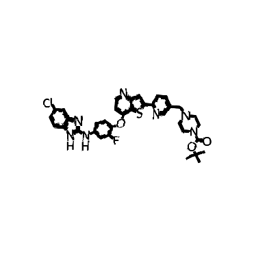 CC(C)(C)OC(=O)N1CCN(Cc2ccc(-c3cc4nccc(Oc5ccc(Nc6nc7cc(Cl)ccc7[nH]6)cc5F)c4s3)nc2)CC1